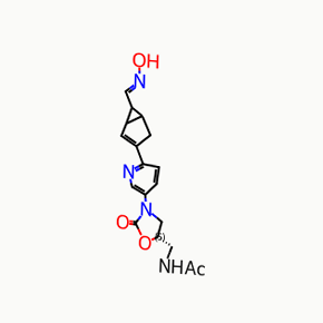 CC(=O)NC[C@H]1CN(c2ccc(C3=CC4C(C=NO)C4C3)nc2)C(=O)O1